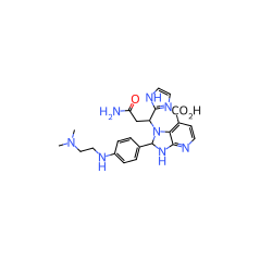 CN(C)CCNc1ccc(C2Nc3nccc(C(=O)O)c3N2C(CC(N)=O)c2ncc[nH]2)cc1